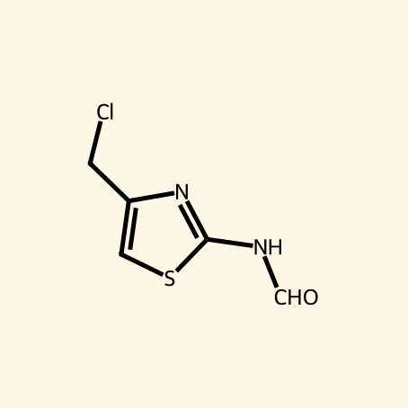 O=CNc1nc(CCl)cs1